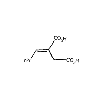 CCCC=C(CC(=O)O)C(=O)O